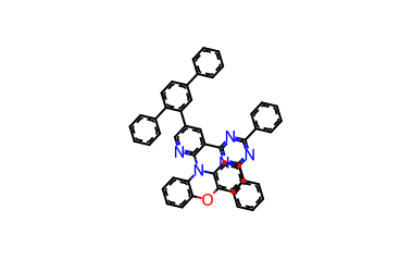 c1ccc(-c2ccc(-c3ccccc3)c(-c3cnc(N4c5ccccc5Oc5ccccc54)c(-c4nc(-c5ccccc5)nc(-c5ccccc5)n4)c3)c2)cc1